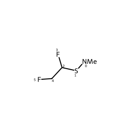 CNSC(F)CF